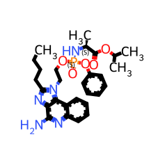 CCCCc1nc2c(N)nc3ccccc3c2n1CCO[P@@](=O)(N[C@@H](C)C(=O)OC(C)C)Oc1ccccc1